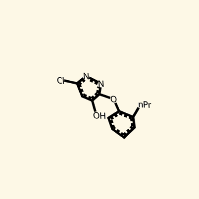 CCCc1ccccc1Oc1nnc(Cl)cc1O